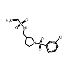 C=CS(=O)(=O)NCC1CCN(S(=O)(=O)c2cccc(Cl)c2)C1